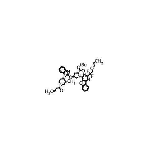 C=CCOCC(F)(F)c1nc(N2C[C@@H](Oc3nc4ccccc4n3[C@H]3CCN(C(=O)CC=C)C[C@@H]3C)C[C@H]2C(=O)OC(C)(C)C)c2oc3ccccc3c2n1